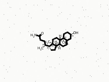 C[C@H](CCC(N)=O)[C@H]1CC[C@H]2[C@@H]3CC=C4C[C@@H](O)CC[C@]4(C)[C@H]3CC[C@]12C